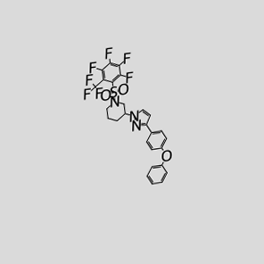 O=S(=O)(c1c(F)c(F)c(F)c(F)c1C(F)(F)F)N1CCCC(n2ccc(-c3ccc(Oc4ccccc4)cc3)n2)C1